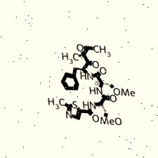 COC[C@H](NC(=O)c1cnc(C)s1)C(=O)N[C@@H](COC)C(=O)N[C@@H](Cc1ccccc1)C(=O)[C@]1(C)OC1C